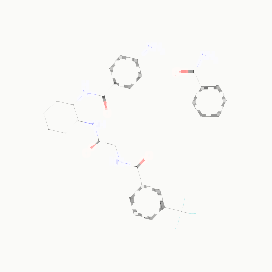 NC(=O)c1ccccc1.Nc1ccc(C(=O)NC2CCCCC2NC(=O)CNC(=O)c2cccc(C(F)(F)F)c2)cc1